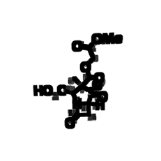 COC(=O)COC(=O)[C@@]1(C)[C@H](C(=O)O)N2C(=O)C[C@H]2S1(=O)=O